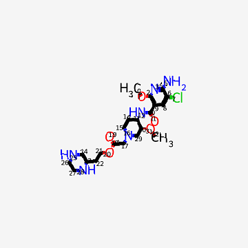 COc1nc(N)c(Cl)cc1C(=O)N[C@@H]1CCN(CC(=O)OCCC2CNCCN2)C[C@@H]1OC